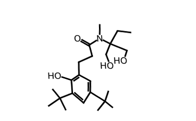 CCC(CO)(CO)N(C)C(=O)CCc1cc(C(C)(C)C)cc(C(C)(C)C)c1O